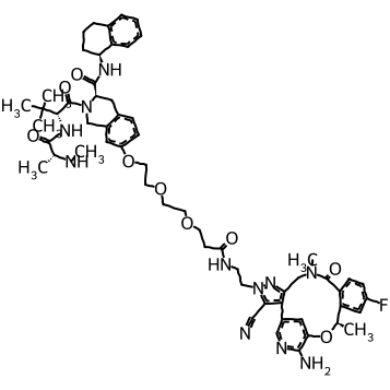 CN[C@H](C)C(=O)N[C@@H](C(=O)N1Cc2cc(OCCOCCOCCC(=O)NCCn3nc4c(c3C#N)-c3cnc(N)c(c3)O[C@H](C)c3cc(F)ccc3C(=O)N(C)C4)ccc2C[C@@H]1C(=O)N[C@H]1CCCc2ccccc21)C(C)(C)C